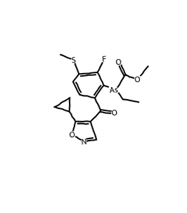 CC[As](C(=O)OC)c1c(C(=O)c2cnoc2C2CC2)ccc(SC)c1F